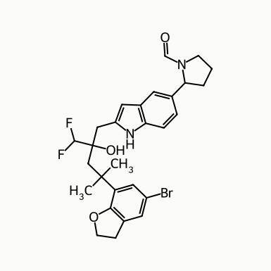 CC(C)(CC(O)(Cc1cc2cc(C3CCCN3C=O)ccc2[nH]1)C(F)F)c1cc(Br)cc2c1OCC2